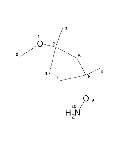 COC(C)(C)CC(C)(C)ON